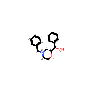 O[C@H](c1ccccc1)[C@@H]1CN(Cc2ccccc2)CCO1